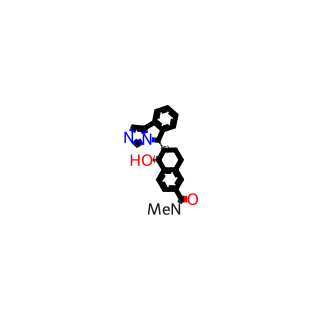 CNC(=O)c1ccc2c(c1)CC[C@@H](C1c3ccccc3-c3cncn31)[C@@H]2O